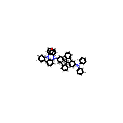 c1ccc(N(c2ccccc2)c2ccc3c(c2)-c2ccccc2C32c3ccccc3-c3cc(N(c4ccccc4)c4cccc5c6ccccc6n(-c6ccccc6)c45)ccc32)cc1